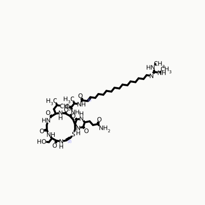 CNC(=NCCCCCCCCCCCCCC/C=C/C(=O)NC(C)C(=O)NC1CC2(CS/C=C\NC(=O)C(CO)NC(=O)CNC(=O)C(CC(C)C)NC1=O)NC(=O)C(CCC(N)=O)NC2=O)NC